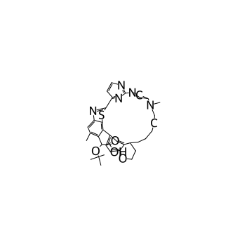 Cc1cc2nc3sc2c(c1C(OC(C)(C)C)C(=O)O)-c1ccc2c(c1)C(CCCCCN(C)C1CN(C1)c1nccc-3n1)CCO2